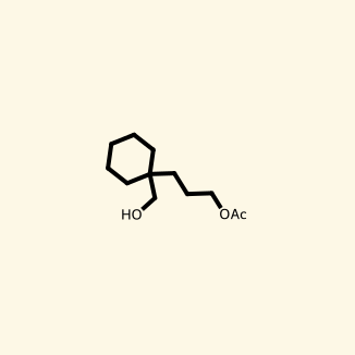 CC(=O)OCCCC1(CO)CCCCC1